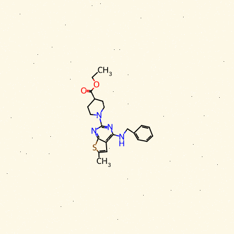 CCOC(=O)C1CCN(c2nc(NCc3ccccc3)c3cc(C)sc3n2)CC1